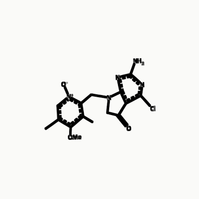 COc1c(C)c[n+]([O-])c(CN2CC(=O)c3c(Cl)nc(N)nc32)c1C